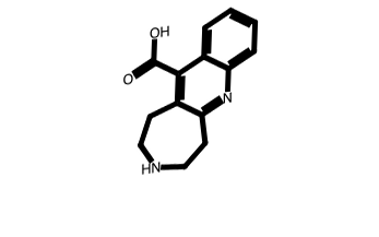 O=C(O)c1c2c(nc3ccccc13)CCNCC2